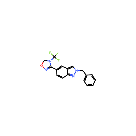 FC(F)(F)N1CON=C1c1ccc2nn(Cc3ccccc3)cc2c1